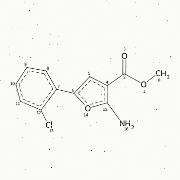 COC(=O)c1cc(-c2ccccc2Cl)oc1N